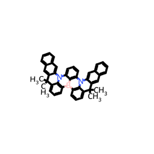 CC1(C)c2cc3ccccc3cc2N2c3cccc4c3B(c3cccc1c32)c1cccc2c1N4c1cc3ccccc3cc1C2(C)C